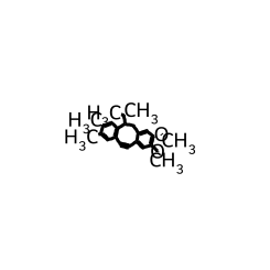 COc1cc2c(cc1OC)CC(C(C)C)c1cc(C)c(C)cc1C#C2